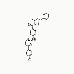 CC(CCc1ccccc1)NC(=O)c1ccc(Nc2nccc(-c3ccc(Cl)cc3)n2)cc1